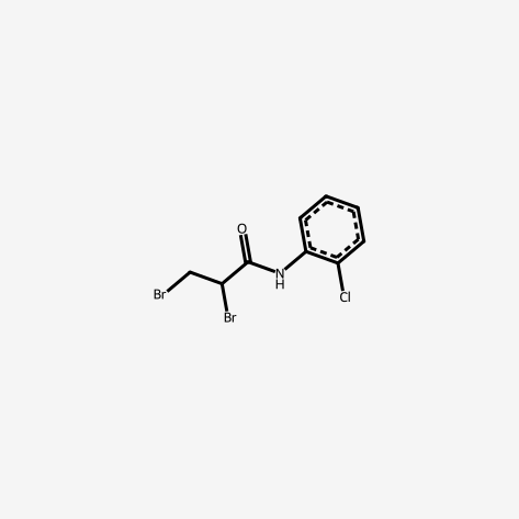 O=C(Nc1ccccc1Cl)C(Br)CBr